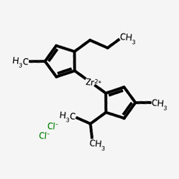 CCCC1C=C(C)C=[C]1[Zr+2][C]1=CC(C)=CC1C(C)C.[Cl-].[Cl-]